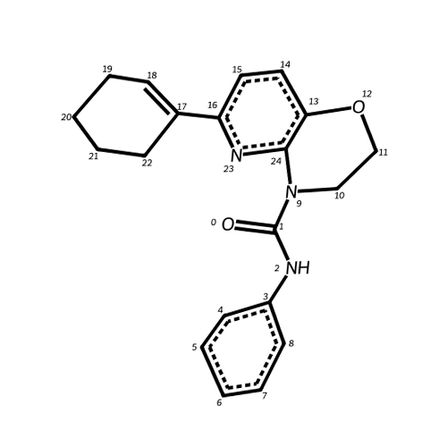 O=C(Nc1ccccc1)N1CCOc2ccc(C3=CCCCC3)nc21